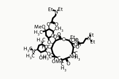 CC[C@H]1OC(=O)[C@H](C)[C@@H](OC2C[C@@](C)(OC)[C@@H](OC(=O)CCN(CC)CC)[C@H](C)O2)[C@H](C)[C@@H](O[C@@H]2O[C@H](C)C[C@H](N(C)C)[C@H]2O)[C@](C)(OC)C[C@@H](C)C(=O)N[C@H](C)[C@@H](OC(=O)CCN(CC)CC)[C@]1(C)O